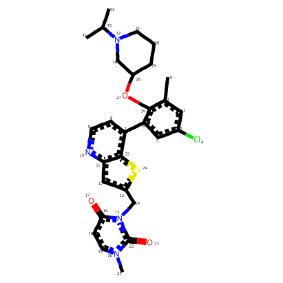 Cc1cc(Cl)cc(-c2ccnc3cc(Cn4c(=O)ccn(C)c4=O)sc23)c1OC1CCCN(C(C)C)C1